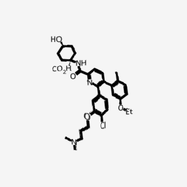 CCOc1ccc(C)c(-c2ccc(C(=O)N[C@]3(C(=O)O)CC[C@H](O)CC3)nc2-c2ccc(Cl)c(OCCCN(C)C)c2)c1